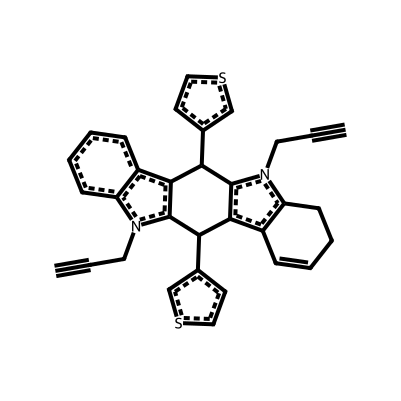 C#CCn1c2c(c3c1C(c1ccsc1)c1c(n(CC#C)c4ccccc14)C3c1ccsc1)C=CCC2